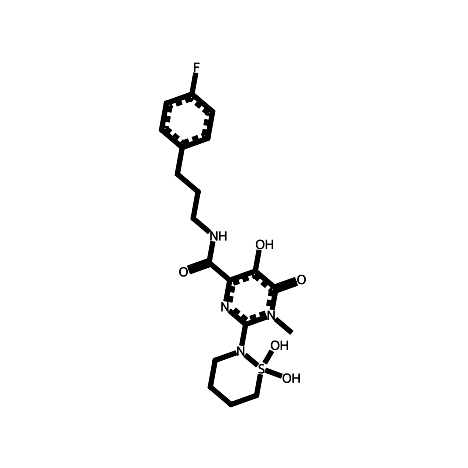 Cn1c(N2CCCCS2(O)O)nc(C(=O)NCCCc2ccc(F)cc2)c(O)c1=O